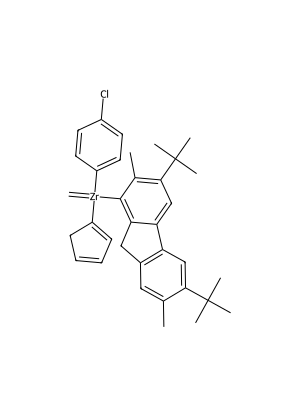 [CH2]=[Zr]([C]1=CC=CC1)([c]1ccc(Cl)cc1)[c]1c(C)c(C(C)(C)C)cc2c1Cc1cc(C)c(C(C)(C)C)cc1-2